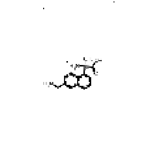 C[C@](N)(C(=O)O)c1cccc2cc(CN)ccc12